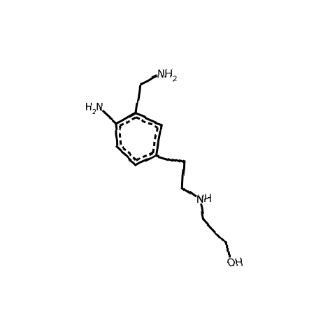 NCc1cc(CCNCCO)ccc1N